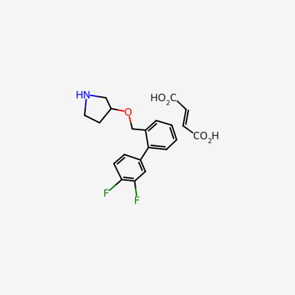 Fc1ccc(-c2ccccc2COC2CCNC2)cc1F.O=C(O)C=CC(=O)O